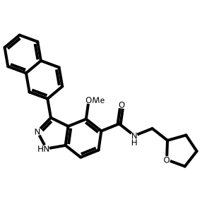 COc1c(C(=O)NCC2CCCO2)ccc2[nH]nc(-c3ccc4ccccc4c3)c12